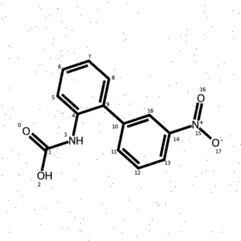 O=C(O)Nc1ccccc1-c1cccc([N+](=O)[O-])c1